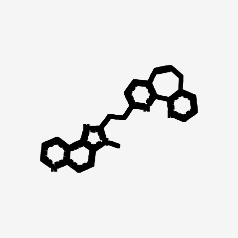 Cn1c(CCc2ccc3c(n2)-c2ncccc2CC=C3)nc2c3cccnc3ccc21